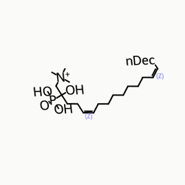 CCCCCCCCCC/C=C\CCCCCCC/C=C\CCC(O)(C[N+](C)(C)C)P(=O)(O)O